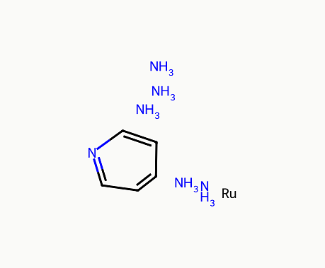 N.N.N.N.N.[Ru].c1ccncc1